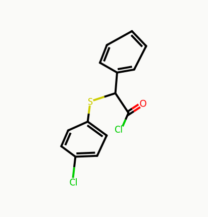 O=C(Cl)C(Sc1ccc(Cl)cc1)c1ccccc1